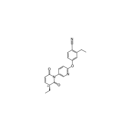 CCc1cc(Oc2ccc(N3C(=O)C=C[C@H](CC)C3=O)cn2)ccc1C#N